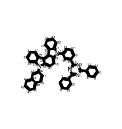 c1ccc(-c2nc(-c3ccccc3)nc(-c3cccc(-n4c5ccccc5c5c6c7ccccc7n(-c7ccc8ccccc8c7)c6ccc54)c3)n2)cc1